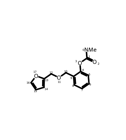 CNC(=O)Oc1ccccc1COCc1ccco1